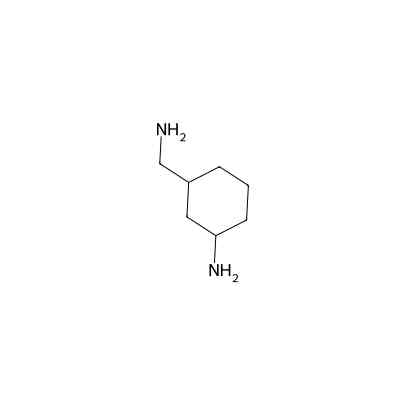 NCC1CCCC(N)C1